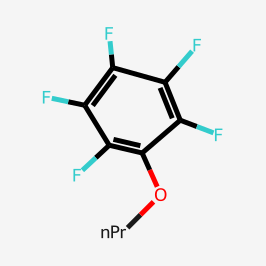 CCCOc1c(F)c(F)c(F)c(F)c1F